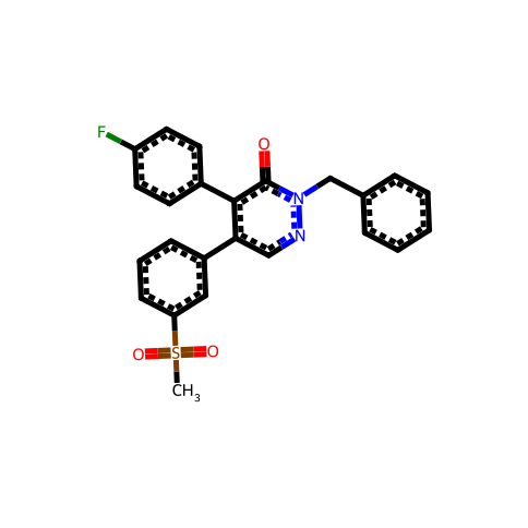 CS(=O)(=O)c1cccc(-c2cnn(Cc3ccccc3)c(=O)c2-c2ccc(F)cc2)c1